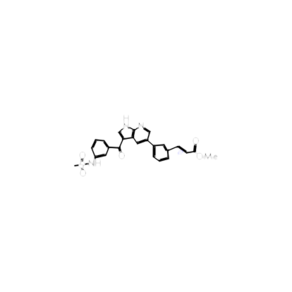 COC(=O)/C=C/c1cccc(-c2cnc3[nH]cc(C(=O)c4cccc(NS(C)(=O)=O)c4)c3c2)c1